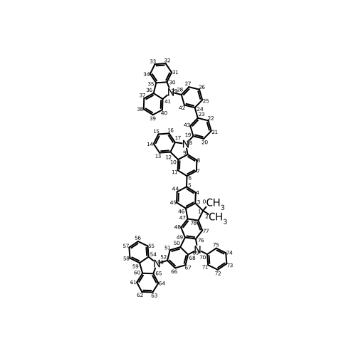 CC1(C)c2cc(-c3ccc4c(c3)c3ccccc3n4-c3cccc(-c4cccc(-n5c6ccccc6c6ccccc65)c4)c3)ccc2-c2cc3c4cc(-n5c6ccccc6c6ccccc65)ccc4n(-c4ccccc4)c3cc21